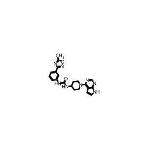 Cc1nc(-c2cccc(NC(=O)NC3CCN(c4ncnc5[nH]ccc45)CC3)c2)no1